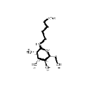 CCCCCCCCCCCCCCNC1O[C@H](CO)[C@@H](O)[C@H](O)[C@@H]1O